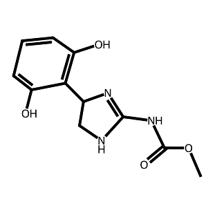 COC(=O)NC1=NC(c2c(O)cccc2O)CN1